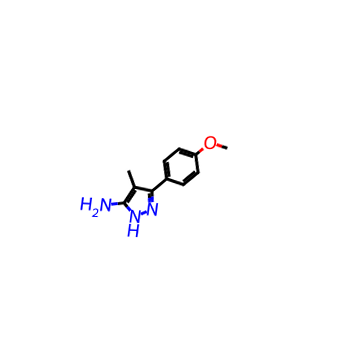 COc1ccc(-c2n[nH]c(N)c2C)cc1